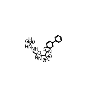 CS(=O)(=O)C(c1nnc(CNN[SH](=O)=O)o1)c1nc2cc(-c3ccccc3)ccc2s1